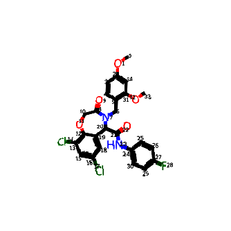 COc1ccc(CN2C(=O)COc3c(Cl)cc(Cl)cc3C2C(=O)Nc2ccc(F)cc2)c(OC)c1